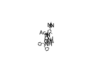 CC(=O)c1nn(CC(=O)N2[C@H](I)[C@@H](C)C[C@H]2C(=O)NC(Cc2ccccc2)Cc2ccccc2)c2c(C)cc(-c3cnc(C)nc3)cc12